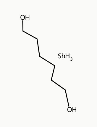 OCCCCCCO.[SbH3]